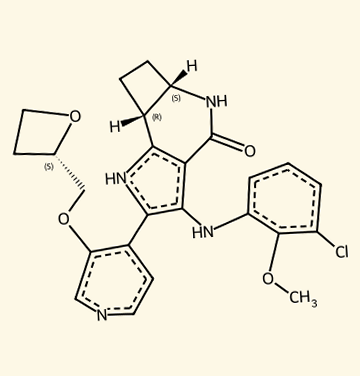 COc1c(Cl)cccc1Nc1c(-c2ccncc2OC[C@@H]2CCO2)[nH]c2c1C(=O)N[C@H]1CC[C@@H]21